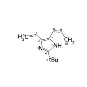 C=Cc1nc(C(C)(C)C)[nH]c1/C=C\C